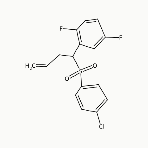 C=CCC(c1cc(F)ccc1F)S(=O)(=O)c1ccc(Cl)cc1